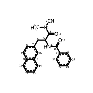 CN(C#N)C(=O)C(Cc1ccc2ccccc2c1)NC(=O)c1ccccc1